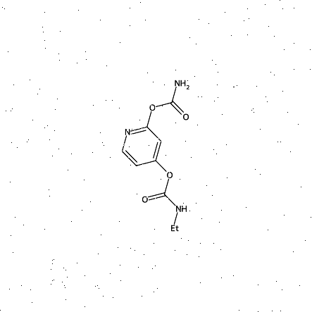 CCNC(=O)Oc1ccnc(OC(N)=O)c1